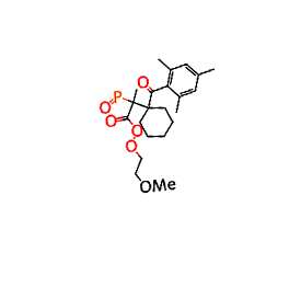 COCCOOC(=O)C(C)(P=O)C1(C(=O)c2c(C)cc(C)cc2C)CCCCC1